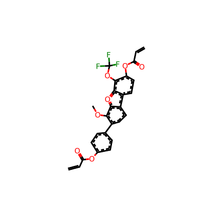 C=CC(=O)Oc1ccc(-c2ccc3c(oc4c(OC(F)(F)F)c(OC(=O)C=C)ccc43)c2OC)cc1